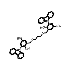 CC(C)(C)c1cc(CSCCCSCc2cc(C(C)(C)C)cc(-n3c4ccccc4c4ccccc43)c2O)c(O)c(-n2c3ccccc3c3ccccc32)c1